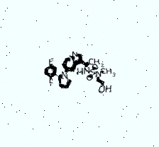 C=C(NS(=O)(=O)N(C)CCO)c1cnn2ccc(N3CCC[C@@H]3c3cc(F)ccc3F)cc12